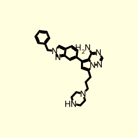 Nc1ncnn2c(CCCN3CCNCC3)cc(-c3ccc4cn(Cc5ccccc5)nc4c3)c12